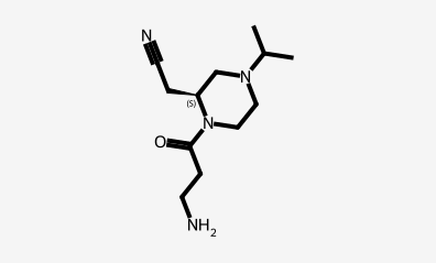 CC(C)N1CCN(C(=O)CCN)[C@@H](CC#N)C1